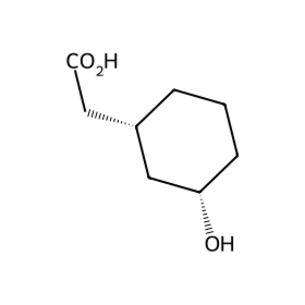 O=C(O)C[C@@H]1CCC[C@H](O)C1